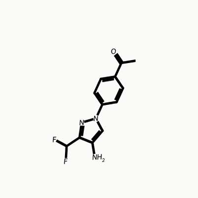 CC(=O)c1ccc(-n2cc(N)c(C(F)F)n2)cc1